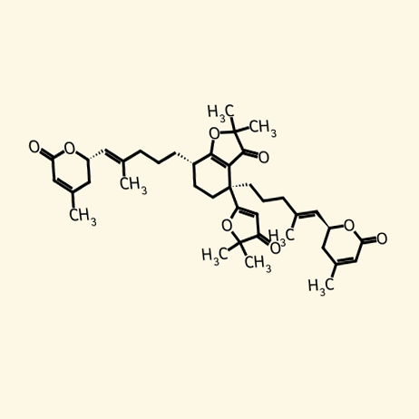 CC1=CC(=O)O[C@H](/C=C(\C)CCC[C@H]2CC[C@](CCC/C(C)=C/[C@@H]3CC(C)=CC(=O)O3)(C3=CC(=O)C(C)(C)O3)C3=C2OC(C)(C)C3=O)C1